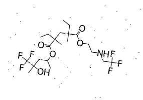 CCC(C)(CC(C)(CC)C(=O)OC(C)CC(C)(O)C(F)(F)F)C(=O)OCCNCC(F)(F)F